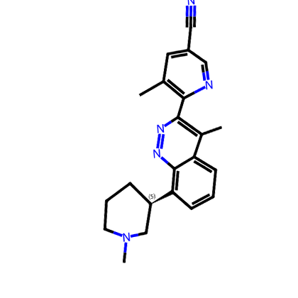 Cc1cc(C#N)cnc1-c1nnc2c([C@@H]3CCCN(C)C3)cccc2c1C